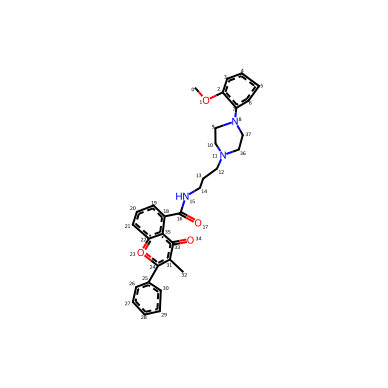 COc1ccccc1N1CCN(CCCNC(=O)c2cccc3oc(-c4ccccc4)c(C)c(=O)c23)CC1